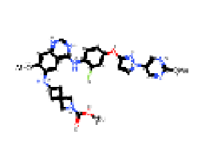 COc1ncc(-n2ccc(Oc3ccc(Nc4ncnc5cc(OC)c(NC6CC7(C6)CN(C(=O)OC(C)(C)C)C7)cc45)c(F)c3)n2)cn1